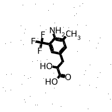 Cc1cc(CC(O)C(=O)O)cc(C(F)(F)F)c1N